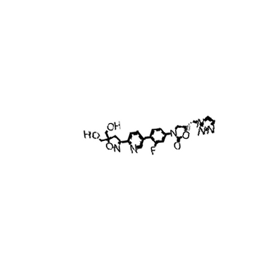 O=C1O[C@@H](Cn2ccnn2)CN1c1ccc(-c2ccc(C3=NOC(CO)(CO)C3)nc2)c(F)c1